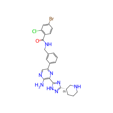 Nc1ncc(-c2cccc(CNC(=O)c3ccc(Br)cc3Cl)c2)nc1-c1nc([C@H]2CCCNC2)n[nH]1